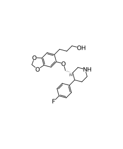 OCCCc1cc2c(cc1OC[C@@H]1CNCCC1c1ccc(F)cc1)OCO2